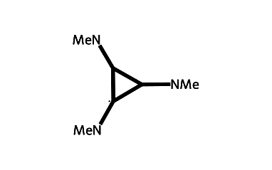 CN[C]1C(NC)C1NC